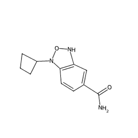 NC(=O)c1ccc2c(c1)NON2C1CCC1